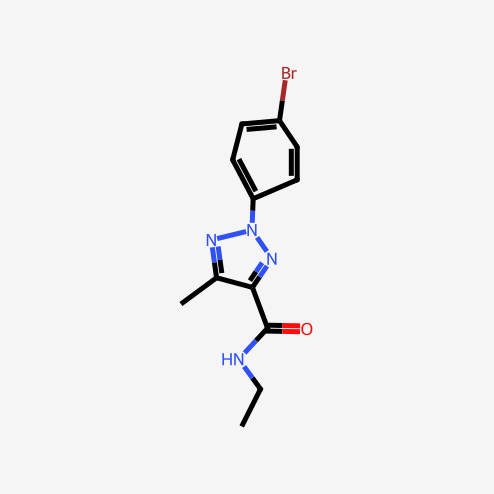 CCNC(=O)c1nn(-c2ccc(Br)cc2)nc1C